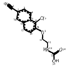 N#Cc1ccc2c(Cl)c(OCCNC(=O)O)ccc2c1